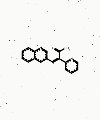 CC(=O)/C(=C\c1cnc2ccccc2c1)c1ccccn1